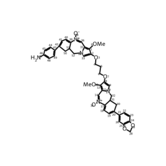 COc1c(OCCCOc2cn3c(c2OC)C=[N+]([O-])C2=CC=C(c4ccc5c(c4)OCO5)CC2C3)cn2c1C=[N+]([O-])C1=CC=C(c3ccc(N)cc3)CC1C2